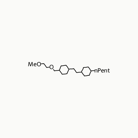 CCCCCC1CCC(CCC2CCC(COCCOC)CC2)CC1